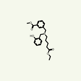 CCOC(=O)CCCCN(Cc1cccc(C(=O)OC)c1)Cc1ccccc1O